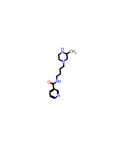 CC1CN(CCCCNC(=O)c2cccnc2)CCN1